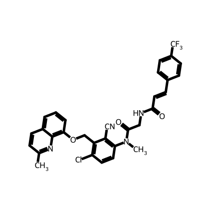 Cc1ccc2cccc(OCc3c(Cl)ccc(N(C)C(=O)CNC(=O)C=Cc4ccc(C(F)(F)F)cc4)c3C#N)c2n1